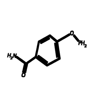 NC(=O)c1ccc(OP)cc1